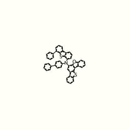 c1ccc(-c2ccc(N(c3cc4c5ccccc5sc4c4c3oc3ccccc34)c3cccc4c3sc3c(-c5ccccc5)cccc34)cc2)cc1